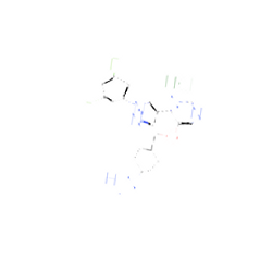 Cl.NC1CCC(COc2cncnc2-c2cnn(-c3cc(F)cc(F)c3)c2)CC1